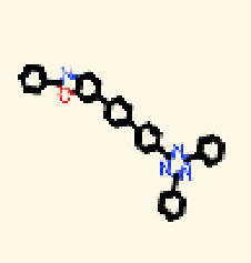 c1ccc(-c2nc(-c3ccccc3)nc(-c3ccc(-c4ccc(-c5ccc6nc(-c7ccccc7)oc6c5)cc4)cc3)n2)cc1